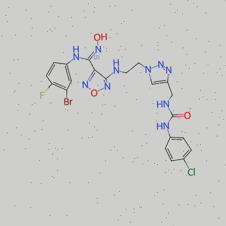 O=C(NCc1cn(CCNc2nonc2/C(=N/O)Nc2ccc(F)c(Br)c2)nn1)Nc1ccc(Cl)cc1